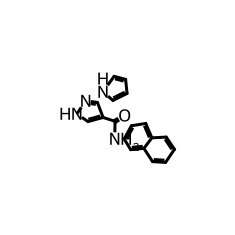 NC(=O)c1cn[nH]c1.c1cc[nH]c1.c1ccc2ccccc2c1